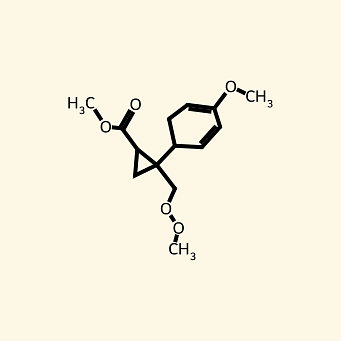 COOCC1(C2C=CC(OC)=CC2)CC1C(=O)OC